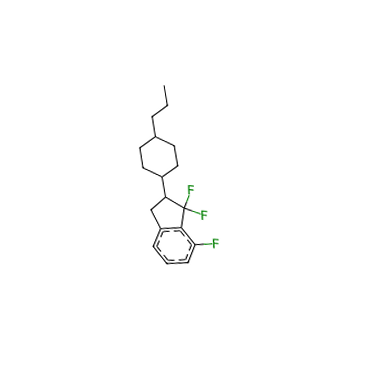 CCCC1CCC(C2Cc3cccc(F)c3C2(F)F)CC1